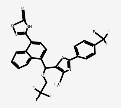 Cc1nc(-c2ccc(C(F)(F)F)cc2)sc1C(OCC(F)(F)F)c1ccc(-c2noc(=O)[nH]2)c2ccccc12